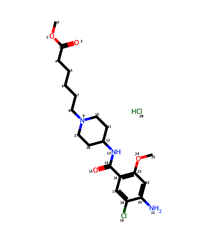 COC(=O)CCCCCN1CCC(NC(=O)c2cc(Cl)c(N)cc2OC)CC1.Cl